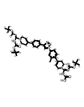 Cc1cc(-n2cc(-c3ccc(C4=CCN(/C(=N/C(=O)OC(C)(C)C)NC(=O)OC(C)(C)C)CC4)cc3)nn2)ccc1C1=CCN(/C(=N\C(=O)OC(C)(C)C)NC(=O)O)CC1